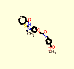 CCN(C1=NC(=O)C2CCCCCCC2S1)c1ccc(OCC(=O)NCc2ccc(C(=O)OC)cc2)cc1